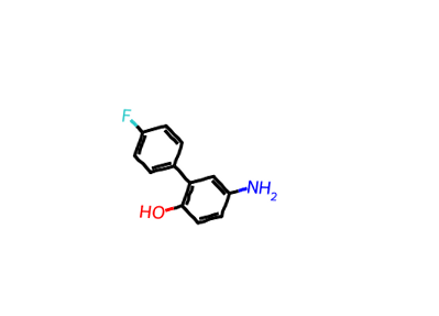 Nc1ccc(O)c(-c2ccc(F)cc2)c1